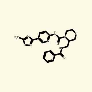 O=C(NCC1COCCN1C(=O)Nc1ccc(-c2noc(C(F)(F)F)n2)cn1)c1ccccc1